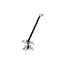 C#CC#CC#CC#CC#CC#CC#CC#CC#CC#CC#C[N+](C)(C)CCOC(=O)C(C)(C)CC